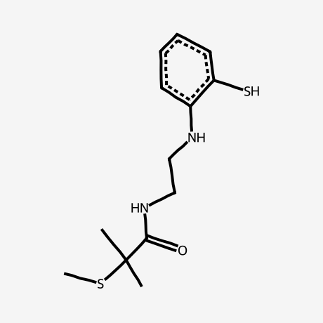 CSC(C)(C)C(=O)NCCNc1ccccc1S